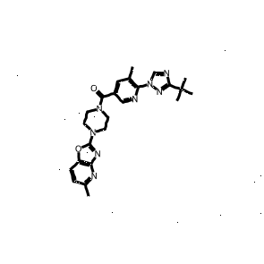 Cc1ccc2oc(N3CCN(C(=O)c4cnc(-n5cnc(C(C)(C)C)n5)c(C)c4)CC3)nc2n1